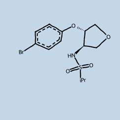 CC(C)S(=O)(=O)N[C@@H]1COC[C@H]1Oc1ccc(Br)cc1